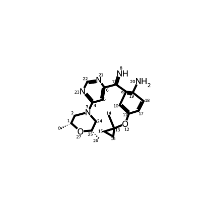 C[C@@H]1CN(c2cc(C(=N)c3cc(OC4(C)CC4)ccc3N)ncn2)C[C@H](C)O1